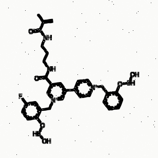 C=C(C)C(=O)NCCCNC(=O)c1cc(-c2cc[n+](Cc3ccccc3OBO)cc2)c[n+](Cc2cc(F)ccc2OBO)c1